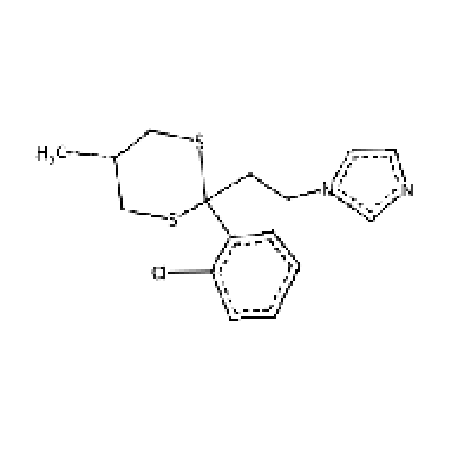 CC1CSC(CCn2ccnc2)(c2ccccc2Cl)SC1